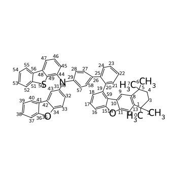 CC1(C)CCC(C)(C)c2cc3c(cc21)oc1cccc(-c2ccccc2-c2ccc(N(c4ccc5oc6ccccc6c5c4)c4cccc5c4sc4ccccc45)cc2)c13